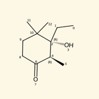 CC[C@@]1(O)[C@@H](C)C(=O)CCC1(C)C